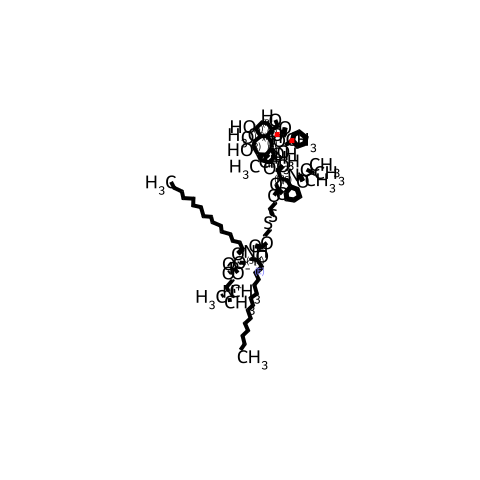 CCCCCCCCCCCCC/C=C/[C@@H](OC(=O)OCCSSCCOC(=O)O[C@@H](C(=O)O[C@H]1C[C@@]2(O)[C@@H](OC(=O)c3ccccc3)[C@@H]3[C@]4(OC(C)=O)CO[C@@H]4C[C@H](O)[C@@]3(C)C(=O)[C@H](O)C(=C1C)C2(C)C)[C@@H](NC(=O)OC(C)(C)C)c1ccccc1)[C@H](COP(=O)([O-])OCC[N+](C)(C)C)NC(=O)CCCCCCCCCCCCCCC